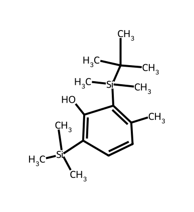 Cc1ccc([Si](C)(C)C)c(O)c1[Si](C)(C)C(C)(C)C